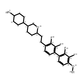 CCCC1CCC(C2CCC(CCc3ccc(-c4ccc(OCC)c(F)c4F)c(F)c3F)OC2)CC1